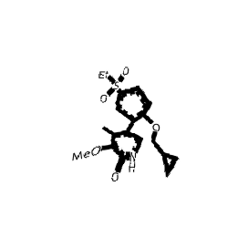 CCS(=O)(=O)c1ccc(OCC2CC2)c(-c2c[nH]c(=O)c(OC)c2C)c1